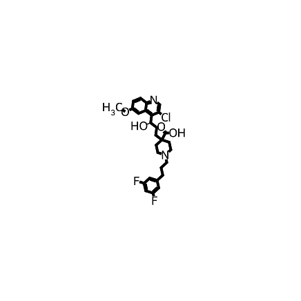 COc1ccc2ncc(Cl)c([C@@H](O)CCC3(C(=O)O)CCN(CCCc4cc(F)cc(F)c4)CC3)c2c1